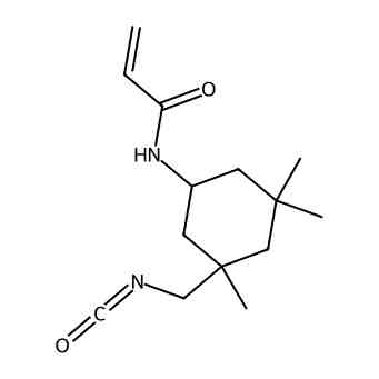 C=CC(=O)NC1CC(C)(C)CC(C)(CN=C=O)C1